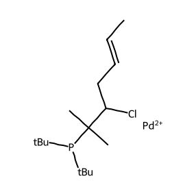 CC=CCC(Cl)C(C)(C)P(C(C)(C)C)C(C)(C)C.[Pd+2]